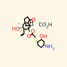 C=C[C@]1(C)C[C@@H](OC(=O)CS[C@@H]2CC[C@@H](N)C[C@H]2O)[C@]2(C)[C@H](C)CC[C@]3(CCC(=O)[C@H]32)[C@@H](C)[C@@H]1O.CC(=O)O